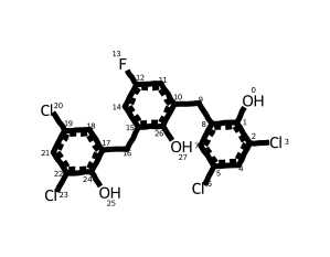 Oc1c(Cl)cc(Cl)cc1Cc1cc(F)cc(Cc2cc(Cl)cc(Cl)c2O)c1O